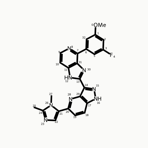 COc1cc(F)cc(-c2nccc3[nH]c(-c4n[nH]c5ccc(-c6cnc(C)n6C)nc45)nc23)c1